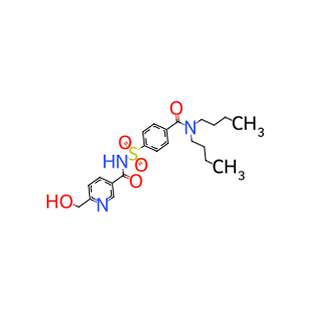 CCCCN(CCCC)C(=O)c1ccc(S(=O)(=O)NC(=O)c2ccc(CO)nc2)cc1